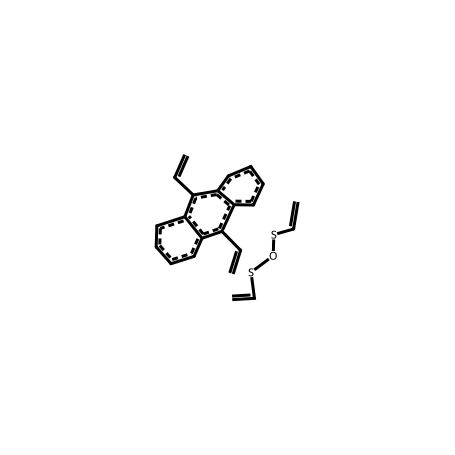 C=CSOSC=C.C=Cc1c2ccccc2c(C=C)c2ccccc12